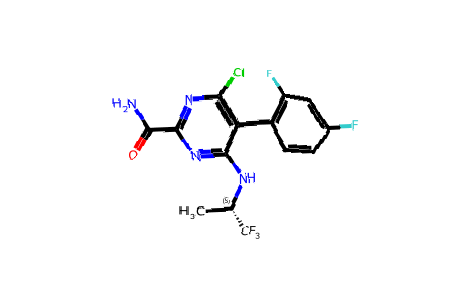 C[C@H](Nc1nc(C(N)=O)nc(Cl)c1-c1ccc(F)cc1F)C(F)(F)F